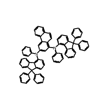 c1ccc(N(c2cc(N(c3ccccc3)c3cccc4c3-c3ccccc3C4(c3ccccc3)c3ccccc3)c3ccc4ccccc4c3c2)c2cccc3c2-c2ccccc2C3(c2ccccc2)c2ccccc2)cc1